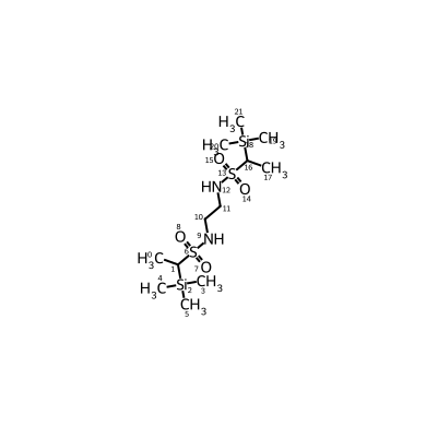 CC([Si](C)(C)C)S(=O)(=O)NCCNS(=O)(=O)C(C)[Si](C)(C)C